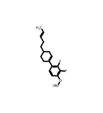 C/C=C/CCC1CC=C(c2ccc(OCCCC)c(F)c2F)CC1